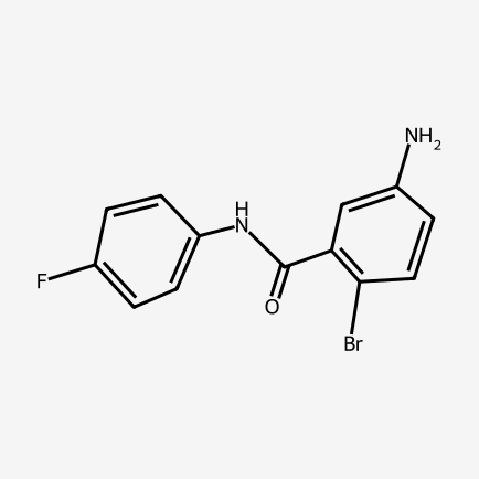 Nc1ccc(Br)c(C(=O)Nc2ccc(F)cc2)c1